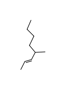 C/C=C/C(C)CCCC